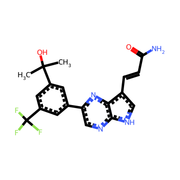 CC(C)(O)c1cc(-c2cnc3[nH]cc(C=CC(N)=O)c3n2)cc(C(F)(F)F)c1